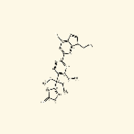 CCn1ncc2c(F)cc(-c3ccc(C(CC)(CC)c4noc(=O)[nH]4)c(OC)n3)cc21